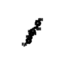 Oc1ccc(C(O)CN2C[C@@H]3CC(O)(Cc4ccc(C(F)(F)F)cc4)C[C@@H]3C2)nc1